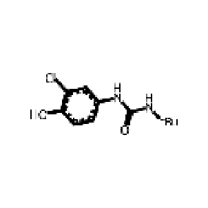 CC(C)(C)NC(=O)Nc1ccc(O)c(Cl)c1